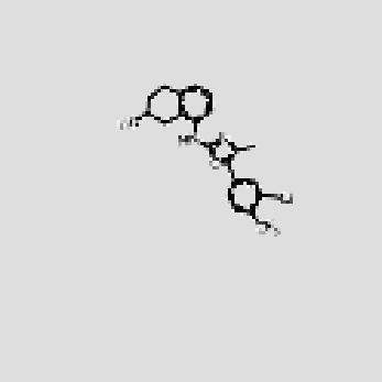 Cc1nc(Nc2cccc3c2CC(O)CC3)oc1-c1ccc(C(F)(F)F)c(Cl)c1